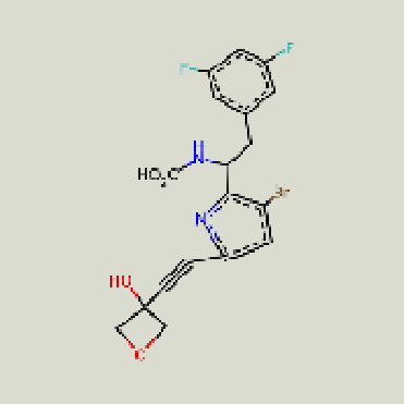 O=C(O)NC(Cc1cc(F)cc(F)c1)c1nc(C#CC2(O)COC2)ccc1Br